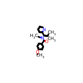 CCN(C(=O)c1ccc(OC)cc1)C(=C(C)C)c1ccccn1